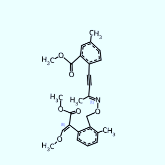 CO/C=C(/C(=O)OC)c1cccc(C)c1CO/N=C(\C)C#Cc1ccc(C)cc1C(=O)OC